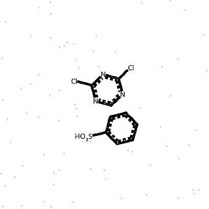 Clc1ncnc(Cl)n1.O=S(=O)(O)c1ccccc1